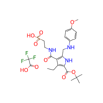 CCc1c(C(=O)OC(C)(C)C)[nH]c(CNc2ccc(OC)cc2)c1C(=O)NCCS(=O)(=O)O.O=C(O)C(F)(F)F